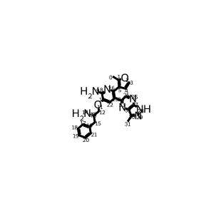 Cc1occc1-c1nc(N)c(OC[C@@H](N)Cc2ccccc2)cc1-c1cnc2[nH]nc(C)c2n1